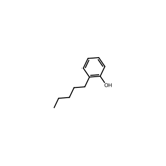 CCCCCc1[c]cccc1O